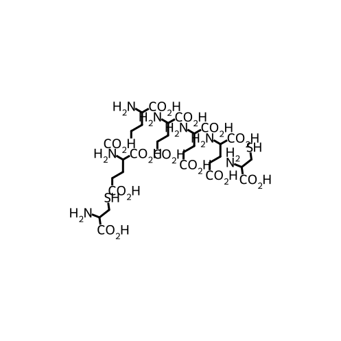 NC(CCC(=O)O)C(=O)O.NC(CCC(=O)O)C(=O)O.NC(CCC(=O)O)C(=O)O.NC(CCC(=O)O)C(=O)O.NC(CCC(=O)O)C(=O)O.NC(CS)C(=O)O.NC(CS)C(=O)O